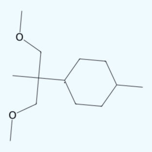 COCC(C)(COC)[C]1CCC(C)CC1